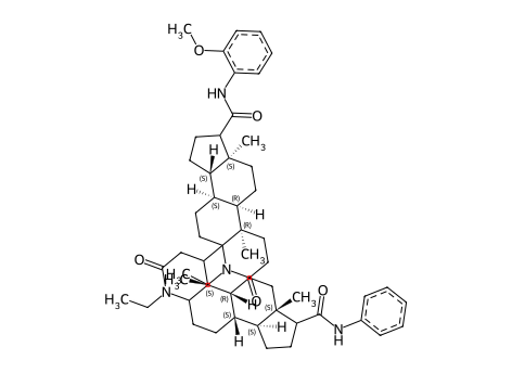 CCN1C(=O)CC(C23CC[C@@H]4[C@@H](CC[C@]5(C)C(C(=O)Nc6ccccc6OC)CC[C@@H]45)[C@@]2(C)CCC(=O)N3CC)[C@@]2(C)C1CC[C@@H]1[C@H]2CC[C@]2(C)C(C(=O)Nc3ccccc3)CC[C@@H]12